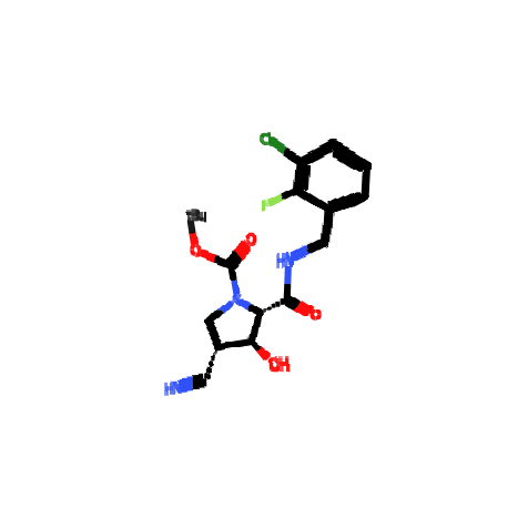 CC(C)(C)OC(=O)N1C[C@@H](C=N)[C@H](O)[C@H]1C(=O)NCc1cccc(Cl)c1F